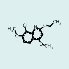 CCOc1cc(OC)c2ccc(OC)c(Cl)c2n1